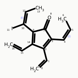 C=CC1=C(/C=C\C)C(=O)C(/C(I)=C\C)=C1C=C